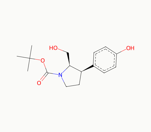 CC(C)(C)OC(=O)N1CC[C@H](c2ccc(O)cc2)[C@@H]1CO